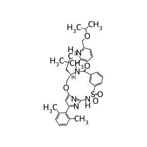 Cc1cccc(C)c1-c1cc2nc(n1)NS(=O)(=O)c1cccc(c1)C(=O)N(Cc1cccc(COC(C)C)n1)[C@H](CC(C)(C)C)CO2